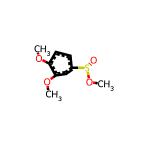 COc1ccc(S(=O)OC)cc1OC